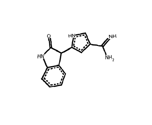 N=C(N)c1c[nH]c(C2C(=O)Nc3ccccc32)c1